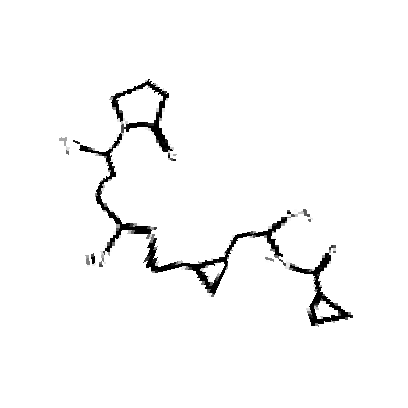 CC(CC1CC1COC(C)CCC(C)N1CCCC1=O)NC(=O)C1CC1